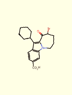 O=C(O)c1ccc2c(C3CCCCC3)c3n(c2c1)CCCC(Br)C3=O